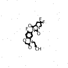 C#CCN1C(=O)COc2cc(F)c(N3C(=O)C4CC(F)(F)CN4C3=O)cc21